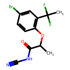 CC(Oc1ccc(Br)cc1C(C)(F)F)C(=O)NC#N